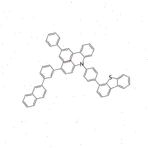 c1ccc(-c2cccc(-c3ccccc3N(c3ccc(-c4cccc(-c5ccc6ccccc6c5)c4)cc3)c3ccc(-c4cccc5c4sc4ccccc45)cc3)c2)cc1